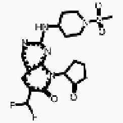 CS(=O)(=O)N1CCC(Nc2ncc3cc(C(F)F)c(=O)n(C4CCCC4=O)c3n2)CC1